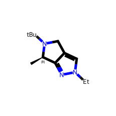 CCn1cc2c(n1)[C@@H](C)N(C(C)(C)C)C2